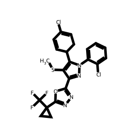 CSc1c(-c2nnc(C3(C(F)(F)F)CC3)o2)nn(-c2ccccc2Cl)c1C1C=CC(Cl)=CC1